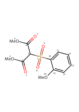 COC(=O)C(C(=O)OC)S(=O)(=O)c1ccccc1OC